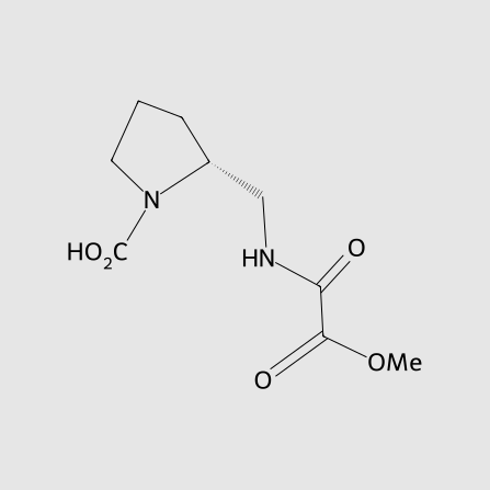 COC(=O)C(=O)NC[C@H]1CCCN1C(=O)O